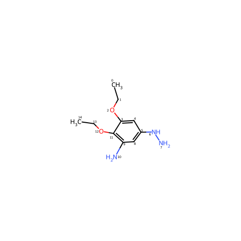 CCOc1cc(NN)cc(N)c1OCC